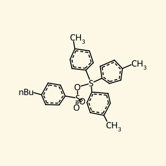 CCCCc1ccc(S(=O)(=O)OS(c2ccc(C)cc2)(c2ccc(C)cc2)c2ccc(C)cc2)cc1